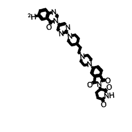 [2H]c1ccc2ncn(-c3cnc(N4CCC(CCN5CCN(c6ccc7c(c6)C(=O)N(C6CCC(=O)NC6=O)C7=O)CC5)CC4)nc3)c(=O)c2c1